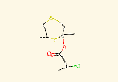 CC1CSCC(C)(OC(=O)C(C)Cl)S1